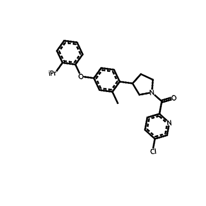 Cc1cc(Oc2ccccc2C(C)C)ccc1C1CCN(C(=O)c2ccc(Cl)cn2)C1